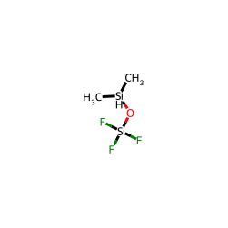 C[SiH](C)O[Si](F)(F)F